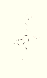 COc1cc2c(C#CCN3CCOCC3)cc(C)nc2cc1OCCCN1CCCC1